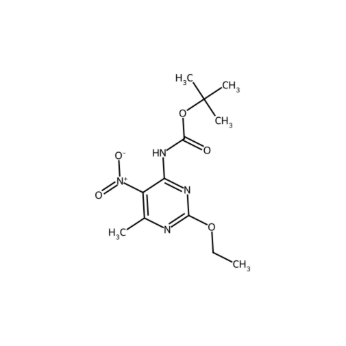 CCOc1nc(C)c([N+](=O)[O-])c(NC(=O)OC(C)(C)C)n1